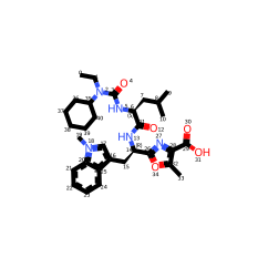 CCN(C(=O)N[C@@H](CC(C)C)C(=O)N[C@H](Cc1cn(C)c2ccccc12)c1nc(C(=O)O)c(C)o1)C1CCCCC1